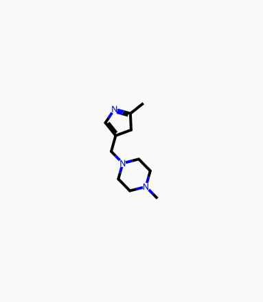 CC1=NC=C(CN2CCN(C)CC2)C1